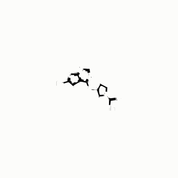 CC(C)C(=O)N1CC[C@H](Oc2ncnc3sc(Br)cc23)C1